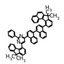 CC1(C)c2ccccc2-c2c(-c3cc(-c4ccc(-c5ccc(-c6cccc7c6-c6c(ccc8ccccc68)C7(C)C)c6ccccc56)c5ccccc45)nc(-c4ccccc4)n3)cccc21